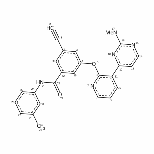 C#Cc1cc(Oc2ncccc2-c2ccnc(NC)n2)cc(C(=O)Nc2cccc(C(F)(F)F)c2)c1